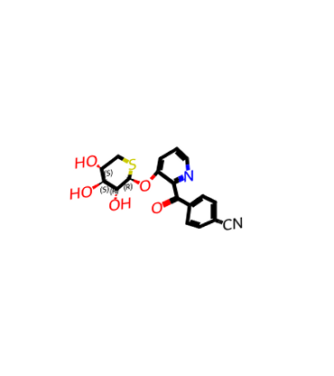 N#Cc1ccc(C(=O)c2ncccc2O[C@@H]2SC[C@@H](O)[C@H](O)[C@H]2O)cc1